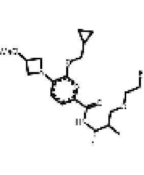 COC1CN(c2ccc(C(=O)N[C@@H](C)C(C)COCCF)nc2OCC2CC2)C1